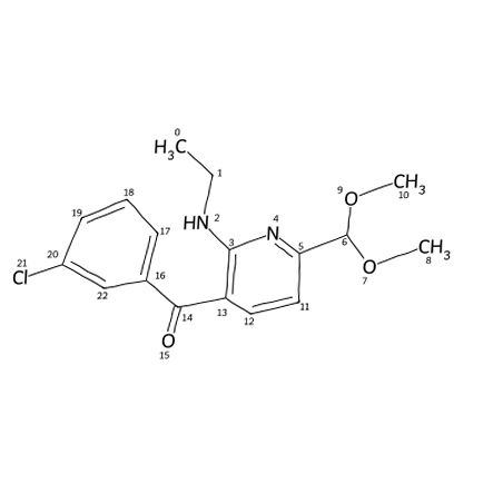 CCNc1nc(C(OC)OC)ccc1C(=O)c1cccc(Cl)c1